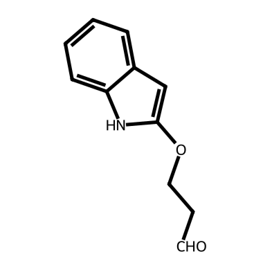 O=CCCOc1cc2ccccc2[nH]1